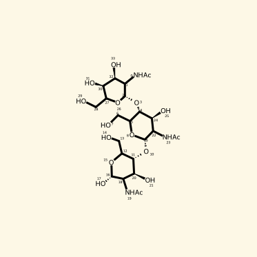 CC(=O)NC1[C@H](O[C@H]2C(CO)O[C@@H](O[C@H]3C(CO)O[C@@H](O)C(NC(C)=O)[C@@H]3O)C(NC(C)=O)[C@@H]2O)OC(CO)[C@@H](O)[C@H]1O